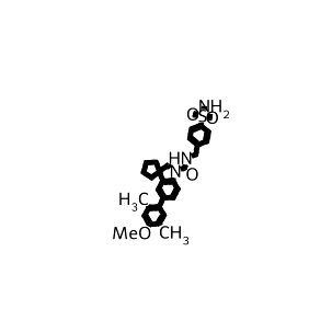 COc1cc(C)c(-c2ccc3c(c2)C2(CCCC2)CN3C(=O)NCc2ccc(S(N)(=O)=O)cc2)cc1C